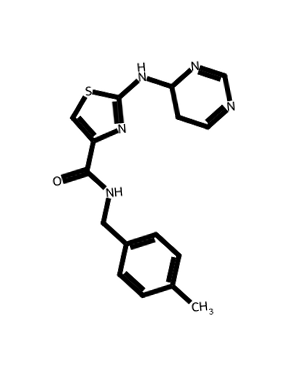 Cc1ccc(CNC(=O)c2csc(NC3CC=NC=N3)n2)cc1